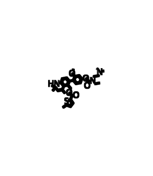 CCN(CCN(C)C)C(=O)Oc1ccc(-c2ccc3c(c2COC(=O)c2ccc(C)s2)C(C)=CC(C)(C)N3)c(OC)c1